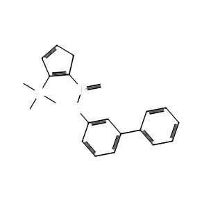 [CH2]=[Ti]([O]c1cccc(-c2ccccc2)c1)[C]1=C([Si](C)(C)C)C=CC1